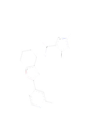 O=C(N[C@H]1CCCc2oc(-c3ccnc(C(F)(F)F)c3)nc21)c1cn(C(F)(F)F)nc1C(F)(F)F